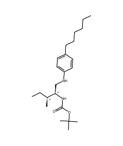 CCCCCCc1ccc(NC[C@@H](NC(=O)OC(C)(C)C)[C@@H](C)CC)cc1